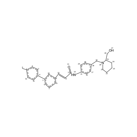 Cc1ccc(-c2cccc(C=CC(=O)Nc3ccc(CN4CCCCC4CO)cc3)c2)cc1